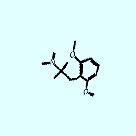 COc1cccc(OC)c1CC(C)(C)N(C)C